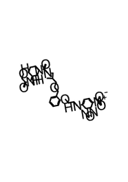 O=C1CO[C@H]2CCN(C(=O)N3CC(COCc4ccccc4OCCNc4ccc([N+](=O)[O-])c5nonc45)C3)C[C@H]2N1